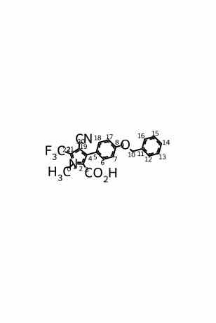 Cn1c(C(=O)O)c(-c2ccc(OCc3ccccc3)cc2)c(C#N)c1C(F)(F)F